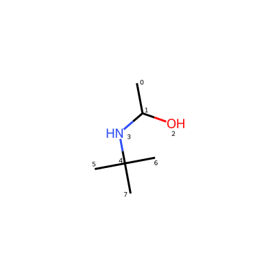 CC(O)NC(C)(C)C